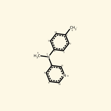 [CH2]c1ccc(N(C)c2cccnc2)cc1